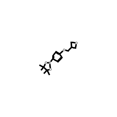 CC1(C)OB(c2ccc(OCC3COC3)cc2)OC1(C)C